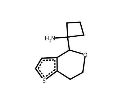 NC1(C2OCCc3sccc32)CCC1